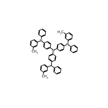 Cc1cccc(C(c2ccccc2)c2ccc(N(c3ccc(N(c4ccccc4)c4cccc(C)c4)cc3)c3ccc(N(c4ccccc4)c4cccc(C)c4)cc3)cc2)c1